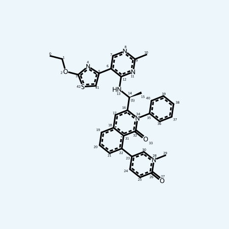 CCOc1nc(-c2cnc(C)nc2N[C@@H](C)c2cc3cccc(-c4ccc(=O)n(C)c4)c3c(=O)n2-c2ccccc2)cs1